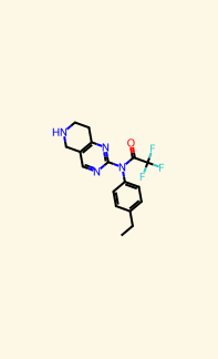 CCc1ccc(N(C(=O)C(F)(F)F)c2ncc3c(n2)CCNC3)cc1